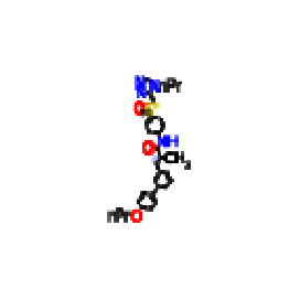 CCCOc1ccc(-c2cccc(/C=C(\C)C(=O)Nc3ccc([S@+]([O-])Cc4nncn4CCC)cc3)c2)cc1